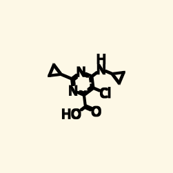 O=C(O)c1nc(C2CC2)nc(NC2CC2)c1Cl